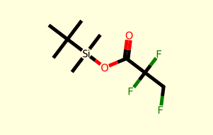 CC(C)(C)[Si](C)(C)OC(=O)C(F)(F)CF